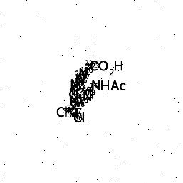 CC(=O)NCC1CCN(Cc2cc(Oc3ccc(N4CCN(CCC(C)C(=O)O)CC4)nc3)nc(-c3cc(Cl)cc(Cl)c3)c2)CC1